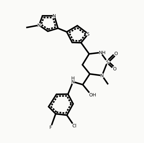 CN1C(C(O)Nc2ccc(F)c(Cl)c2)CC(c2cc(-c3cn(C)cn3)cs2)NS1(=O)=O